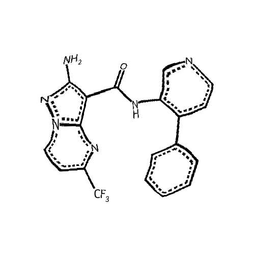 Nc1nn2ccc(C(F)(F)F)nc2c1C(=O)Nc1cnccc1-c1ccccc1